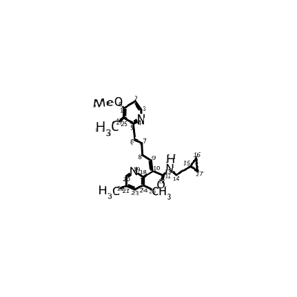 COc1ccnc(CCC/C=C(/C(=O)NCC2CC2)c2ncc(C)cc2C)c1C